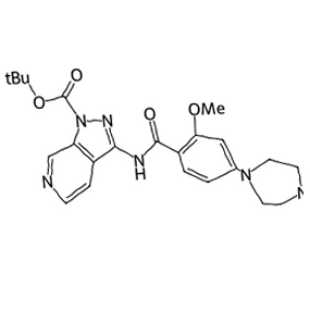 COc1cc(N2CCNCC2)ccc1C(=O)Nc1nn(C(=O)OC(C)(C)C)c2cnccc12